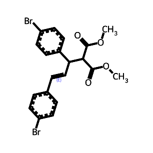 COC(=O)C(C(=O)OC)C(/C=C/c1ccc(Br)cc1)c1ccc(Br)cc1